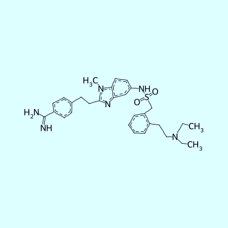 CCN(CC)CCc1ccccc1CS(=O)(=O)Nc1ccc2c(c1)nc(CCc1ccc(C(=N)N)cc1)n2C